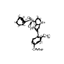 COc1ccc(-c2cc3nccc(S(=O)(=O)c4ccccc4)c3[nH]2)c(C=O)c1